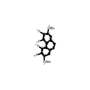 COc1cc2ccc3cc(OCC(C)C)c(F)c(F)c3c2c(F)c1F